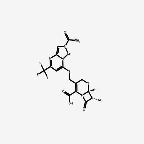 NC(=O)N1C=C2N=C(C(F)(F)F)C=C(SCC3=C(C(=O)O)N4C(=O)[C@@H](N)[C@H]4SC3)N2N1